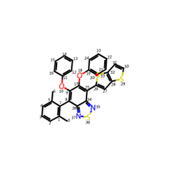 Cc1cccc(C)c1-c1c(Oc2ccccc2)c(Oc2ccccc2)c(-c2cc3sccc3s2)c2nsnc12